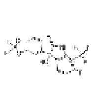 O=C1Nc2c(ccc(F)c2C(F)(F)F)C1(O)c1ccc2c(c1)OC(F)(F)O2